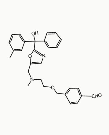 Cc1cccc(C(O)(c2ccccc2)c2ncc(CN(C)CCOCc3ccc(C=O)cc3)o2)c1